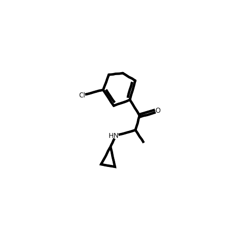 CC(NC1CC1)C(=O)C1=CCCC(Cl)=C1